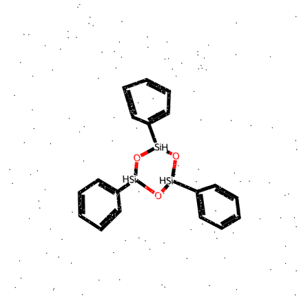 c1ccc([SiH]2O[SiH](c3ccccc3)O[SiH](c3ccccc3)O2)cc1